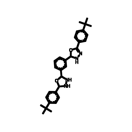 CC(C)(C)c1ccc(C2=NNC(c3cccc(C4NNC(c5ccc(C(C)(C)C)cc5)O4)c3)O2)cc1